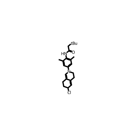 Cc1cc(N2C=C3CCC(Cl)C=C3CC2)cc(C)c1NC(=O)CC(C)(C)C